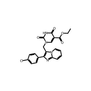 CCOC(=O)c1cn(Cc2c(-c3ccc(Cl)cc3)nc3ccccn23)c(=O)[nH]c1=O